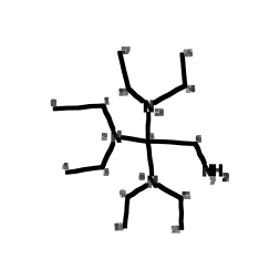 CCN(CC)C(CN)(N(CC)CC)N(CC)CC